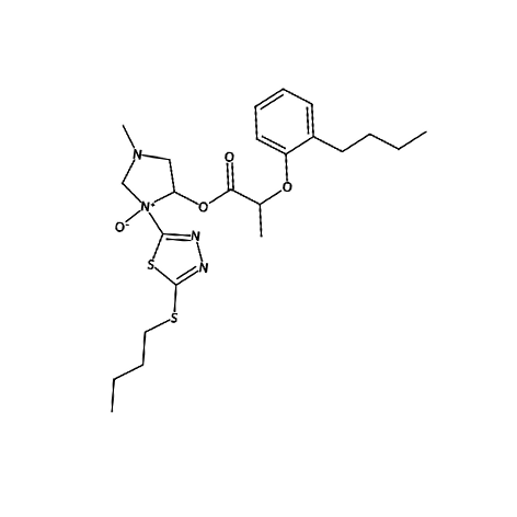 CCCCSc1nnc([N+]2([O-])CN(C)CC2OC(=O)C(C)Oc2ccccc2CCCC)s1